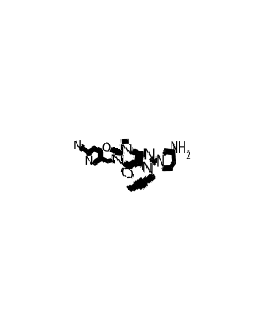 CC#CCn1c(N2CCC[C@@H](N)C2)nc2c1c(=O)n(Cc1ccc(C#N)nc1)c(=O)n2C